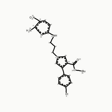 CCc1ccc(-c2cn(CCCNc3ccc([N+](=O)[O-])c(N)n3)cc2C(=O)OC(C)(C)C)cc1